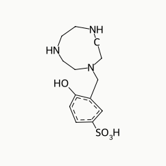 O=S(=O)(O)c1ccc(O)c(CN2CCNCCNCC2)c1